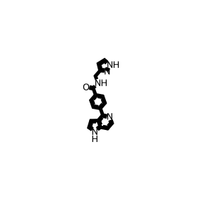 O=C(NCc1cc[nH]n1)c1ccc(-c2nccc3[nH]ccc23)cc1